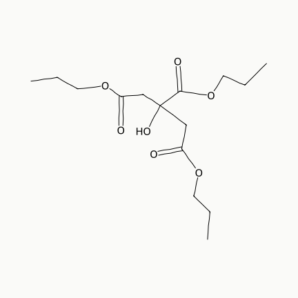 CCCOC(=O)CC(O)(CC(=O)OCCC)C(=O)OCCC